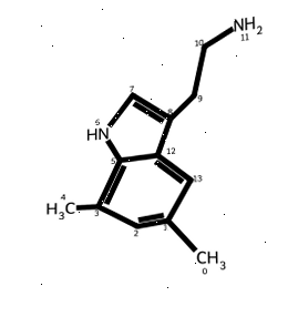 Cc1cc(C)c2[nH]cc(CCN)c2c1